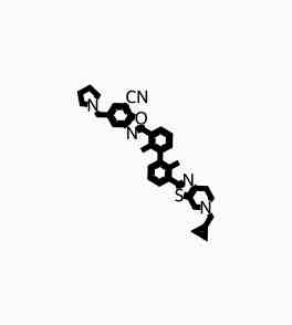 Cc1c(-c2nc3cc(CN4CCCC4)cc(C#N)c3o2)cccc1-c1cccc(-c2nc3c(s2)CN(CC2CC2)CC3)c1C